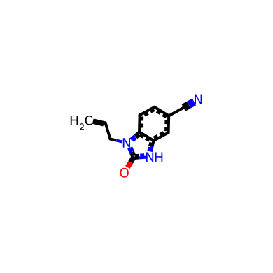 C=CCn1c(=O)[nH]c2cc(C#N)ccc21